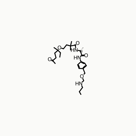 CCCNCOCc1ccc(NC(=O)[C@@H](C)NC(=O)C(C)(C)CCOC(C)(CC)CCC(C)=O)cc1